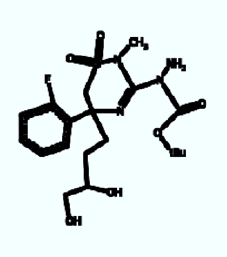 CN1C(N(N)C(=O)OC(C)(C)C)=NC(CCC(O)CO)(c2ccccc2F)CS1(=O)=O